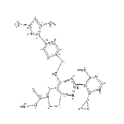 COc1ncnc(C2CC2)c1-c1nc2c(c(OCc3ccc(-c4nc(C(F)(F)F)cn4C)cc3)n1)CN(C(=O)OC(C)(C)C)CC2